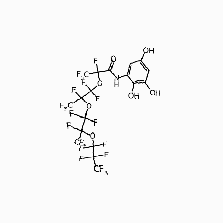 O=C(Nc1cc(O)cc(O)c1O)C(F)(OC(F)(F)C(F)(OC(F)(F)C(F)(OC(F)(F)C(F)(F)C(F)(F)F)C(F)(F)F)C(F)(F)F)C(F)(F)F